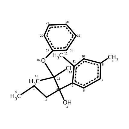 CCCC(O)(c1ccc(C)cc1C)C(C)(C)Oc1ccccc1